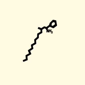 CCCCCCCCCCCCC(C)CC(N)c1ccccc1